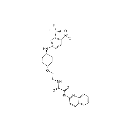 O=C(NCCO[C@H]1CC[C@H](Nc2ccc([N+](=O)[O-])c(C(F)(F)F)c2)CC1)C(=O)Nc1ccc2ccccc2n1